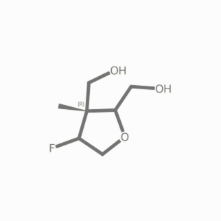 C[C@]1(CO)C(F)COC1CO